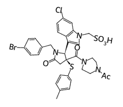 CC(=O)N1CCN(C(=O)[C@]2(Sc3ccc(C)cc3)CC(=O)N(Cc3ccc(Br)cc3)[C@H]2c2cn(CS(=O)(=O)O)c3cc(Cl)ccc23)CC1